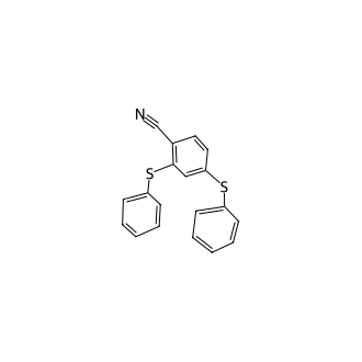 N#Cc1ccc(Sc2ccccc2)cc1Sc1ccccc1